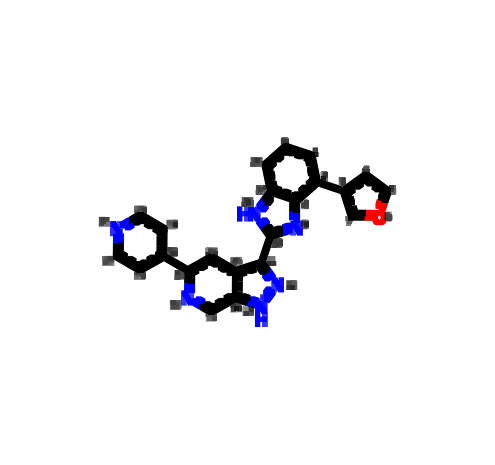 c1cc(-c2ccoc2)c2nc(-c3n[nH]c4cnc(-c5ccncc5)cc34)[nH]c2c1